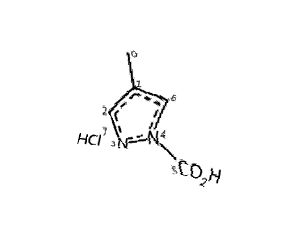 Cc1cnn(C(=O)O)c1.Cl